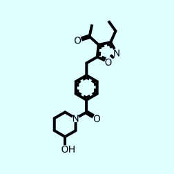 CCc1noc(Cc2ccc(C(=O)N3CCCC(O)C3)cc2)c1C(C)=O